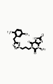 CCCn1c(=O)n(CCCn2nnc(Cc3cc(C(F)(F)F)ccc3C(F)(F)F)n2)c(=O)c2[nH]c(Cl)nc21